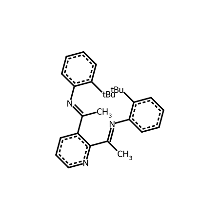 CC(=Nc1ccccc1C(C)(C)C)c1cccnc1C(C)=Nc1ccccc1C(C)(C)C